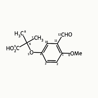 COc1ccc(OC(C)(C)C(=O)O)cc1C=O